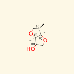 C[C@@H]1CO[C@]2(C)[C@H](O)CO[C@]12C